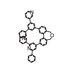 c1ccc(-c2cc(-c3ccc4c(c3)-c3cc(-c5cc(-c6cccnc6)cc(-c6cccnc6)c5)ccc3COC4)cc(-c3ccccc3)n2)cc1